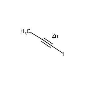 CC#CI.[Zn]